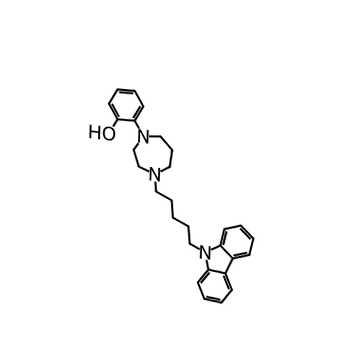 Oc1ccccc1N1CCCN(CCCCCn2c3ccccc3c3ccccc32)CC1